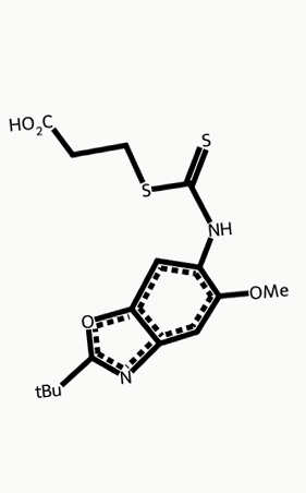 COc1cc2nc(C(C)(C)C)oc2cc1NC(=S)SCCC(=O)O